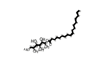 CCCCCCCC/C=C\CCCCCCCC(=O)OC(O)[C@H](O)[C@@H](O)[C@H](O)[C@H](O)CO